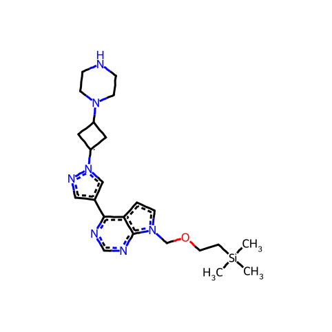 C[Si](C)(C)CCOCn1ccc2c(-c3cnn([C]4CC(N5CCNCC5)C4)c3)ncnc21